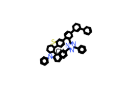 CC12CC=CC=C1N(c1ccccc1)C1CCC3SC4C=C(C5=C(c6nc(-c7ccccc7)nc(-c7ccccc7)n6)CC(C6C=C(C7C=CC=CC7)CCC6)C=C5)C=CC4C3C12